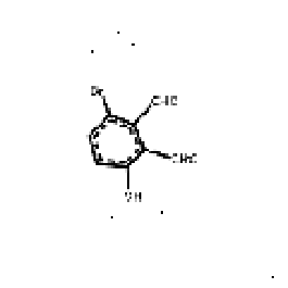 O=Cc1c(O)ccc(Br)c1C=O